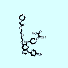 N#Cc1ccc(-n2cnc3cc(OCCOCCOC(=O)CN4CCOCC4)c(NC4CCOCC4)nc32)nc1.O=C(O)C(=O)O